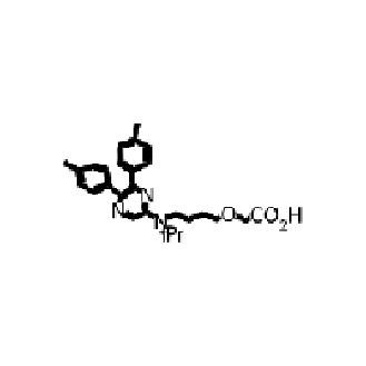 Cc1ccc(-c2ncc(N(CCCCOCC(=O)O)C(C)C)nc2-c2ccc(C)cc2)cc1